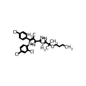 CCCCOC(C)(C)c1nnc(-c2nn(-c3ccc(Cl)cc3Cl)c(-c3ccc(Cl)cc3)c2C)s1